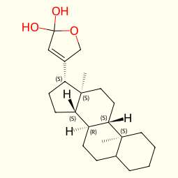 C[C@]12CC[C@H]3[C@@H](CCC4CCCC[C@@]43C)[C@@H]1CC[C@@H]2C1=CC(O)(O)OC1